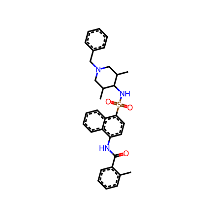 Cc1ccccc1C(=O)Nc1ccc(S(=O)(=O)NC2C(C)CN(Cc3ccccc3)CC2C)c2ccccc12